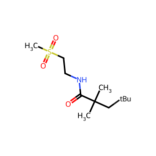 CC(C)(C)CC(C)(C)C(=O)NCCS(C)(=O)=O